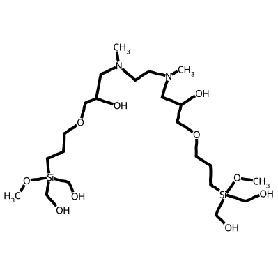 CO[Si](CO)(CO)CCCOCC(O)CN(C)CCN(C)CC(O)COCCC[Si](CO)(CO)OC